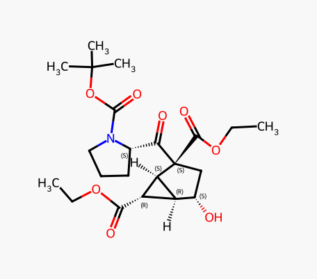 CCOC(=O)[C@H]1[C@H]2[C@@H]1[C@](C(=O)OCC)(C(=O)[C@@H]1CCCN1C(=O)OC(C)(C)C)C[C@@H]2O